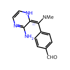 CN/C(=C1\NC=CN=C1N)c1ccc(C=O)cc1